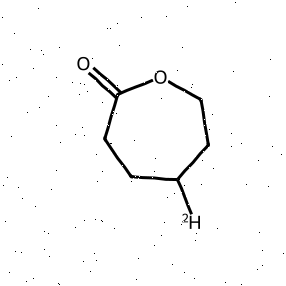 [2H]C1CCOC(=O)CC1